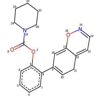 O=C(Oc1ccccc1C1=CCC2=CC=NOC2=C1)N1CCCCC1